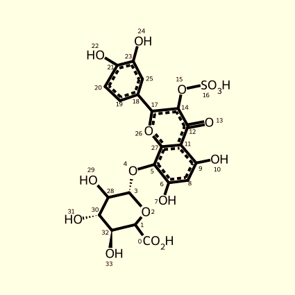 O=C(O)C1O[C@@H](Oc2c(O)cc(O)c3c(=O)c(OS(=O)(=O)O)c(-c4ccc(O)c(O)c4)oc23)C(O)[C@@H](O)[C@@H]1O